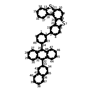 c1cc(-c2ccc3sc4ccc5sc6ccccc6c5c4c3c2)cc(-c2c3ccccc3c(-c3ccc4ccccc4c3)c3ccccc23)c1